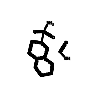 NS(=O)(=O)c1ccc2ccccc2c1.O=CO